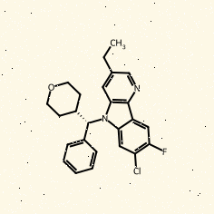 CCc1cnc2c3cc(F)c(Cl)cc3n([C@H](c3ccccc3)C3CCOCC3)c2c1